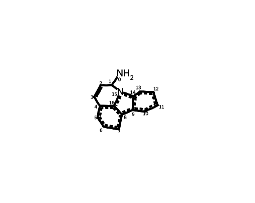 NC1C=Cc2cccc3c4ccccc4n1c23